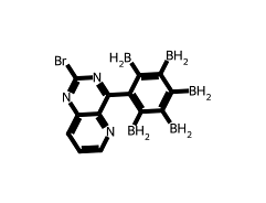 Bc1c(B)c(B)c(-c2nc(Br)nc3cccnc23)c(B)c1B